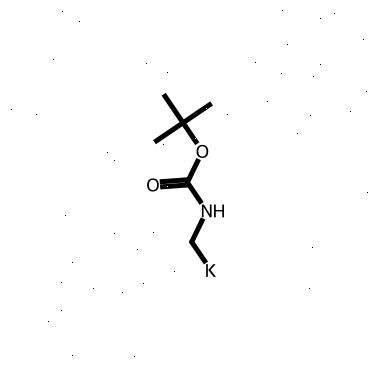 CC(C)(C)OC(=O)N[CH2][K]